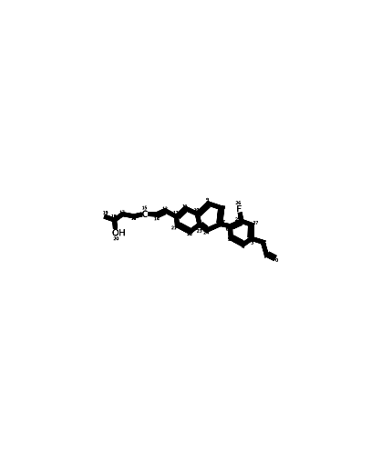 C=CCc1ccc(-c2ccc3cc(/C=C/CCCC(C)O)ccc3c2)c(F)c1